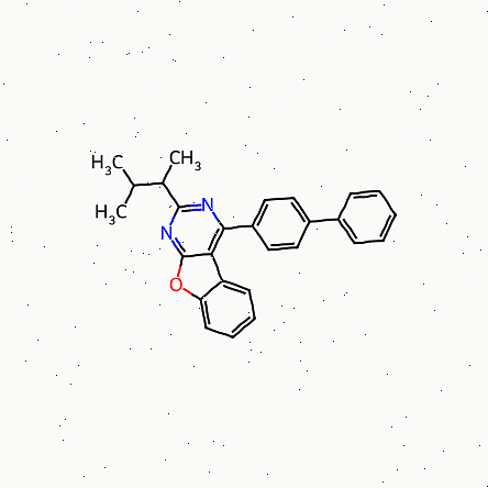 CC(C)C(C)c1nc(-c2ccc(-c3ccccc3)cc2)c2c(n1)oc1ccccc12